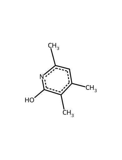 Cc1cc(C)c(C)c(O)n1